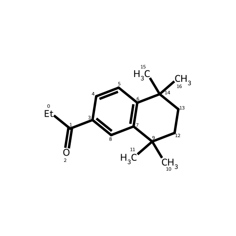 CCC(=O)c1ccc2c(c1)C(C)(C)CCC2(C)C